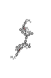 C=Cc1ccc(COc2ccc(C3(c4cc(C)ccc4C)c4ccccc4-c4ccc(-c5ccc(N(c6ccc(-c7ccc(N(c8ccc(-c9ccc%10c(c9)C(c9ccc(OCc%11ccc(C=C)cc%11)cc9)(c9cc(C)ccc9C)c9ccccc9-%10)cc8)c8ccc(-c9ccccc9F)cc8)cc7)cc6)c6ccc(-c7ccccc7F)cc6)cc5)cc43)cc2)cc1